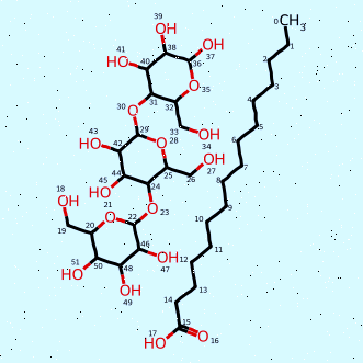 CCCCCCCCCCCCCCCC(=O)O.OCC1OC(OC2C(CO)OC(OC3C(CO)OC(O)C(O)C3O)C(O)C2O)C(O)C(O)C1O